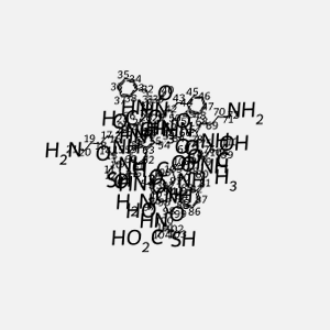 CC(N)C(=O)NCC(=O)N[C@@H](CS)C(=O)N[C@@H](CCCCN)C(=O)NC(C)(C)C(=O)N[C@@H](Cc1ccccc1)C(=O)N[C@@H](Cc1ccccc1)C(=O)N[C@@H](Cc1c[nH]c2ccccc12)C(=O)N[C@@H](CCCCN)C(=O)N[C@H](C(=O)N[C@@H](Cc1ccccc1)C(=O)N[C@H](C(=O)N[C@@H](CO)C(=O)N[C@@H](CS)C(=O)O)C(C)O)C(C)O